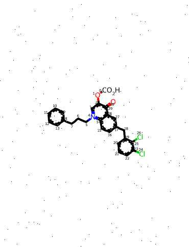 O=C(O)Oc1cn(CCCc2ccccc2)c2ccc(Cc3cccc(Cl)c3Cl)cc2c1=O